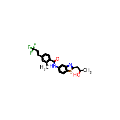 Cc1cc(C=CC(F)(F)F)ccc1C(=O)Nc1ccc2sc(CC(C)O)nc2c1